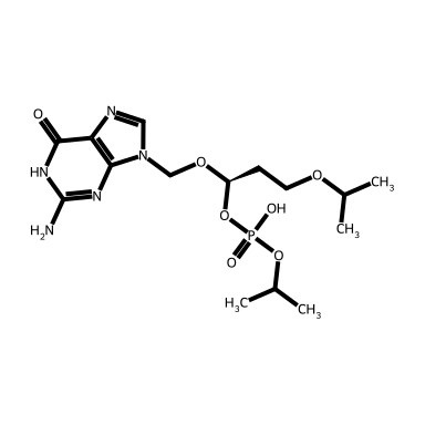 CC(C)OCC[C@H](OCn1cnc2c(=O)[nH]c(N)nc21)OP(=O)(O)OC(C)C